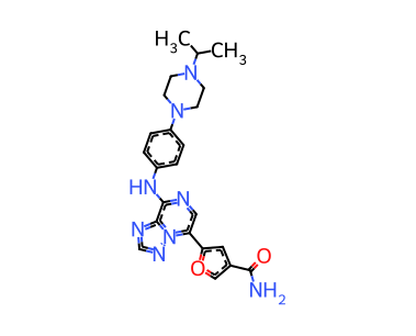 CC(C)N1CCN(c2ccc(Nc3ncc(-c4cc(C(N)=O)co4)n4ncnc34)cc2)CC1